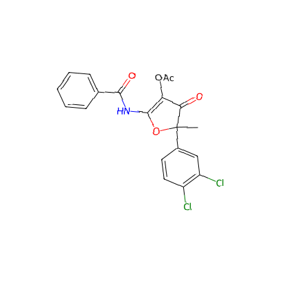 CC(=O)OC1=C(NC(=O)c2ccccc2)OC(C)(c2ccc(Cl)c(Cl)c2)C1=O